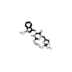 Cn1cc(C[C@@H](NC(=O)OC(C)(C)C)C(=O)OCC2COC(C)(C)O2)c2ccccc21